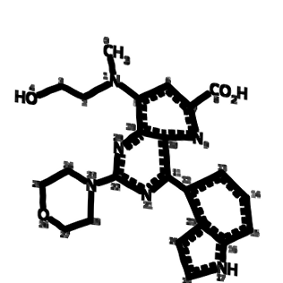 CN(CCO)c1cc(C(=O)O)nc2c(-c3cccc4[nH]ccc34)nc(N3CCOCC3)nc12